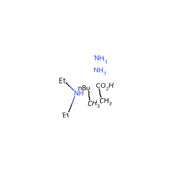 CC(=O)O.CCCCC.CCNCC.N.N